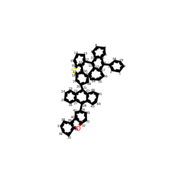 c1ccc(-c2c3ccccc3c(-c3cccc4sc5cc(-c6c7ccccc7c(-c7ccc8oc9ccccc9c8c7)c7ccccc67)ccc5c34)c3ccccc23)cc1